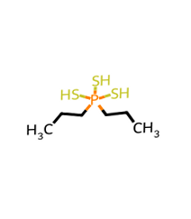 CCCP(S)(S)(S)CCC